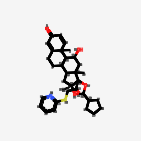 CC12C=CC(=O)C=C1CCC1C2[C@@H](O)CC2(C)C1C[C@@H]1OC(C3CCCC3)O[C@]12C(=O)CSc1ccccn1